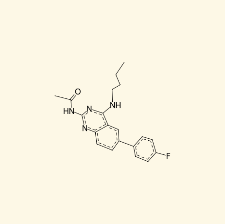 CCCCNc1nc(NC(C)=O)nc2ccc(-c3ccc(F)cc3)cc12